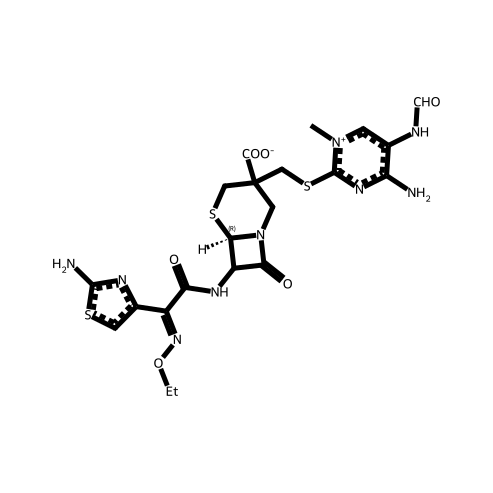 CCON=C(C(=O)NC1C(=O)N2CC(CSc3nc(N)c(NC=O)c[n+]3C)(C(=O)[O-])CS[C@H]12)c1csc(N)n1